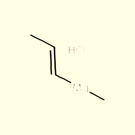 CC=[CH][Mg][CH3].Cl